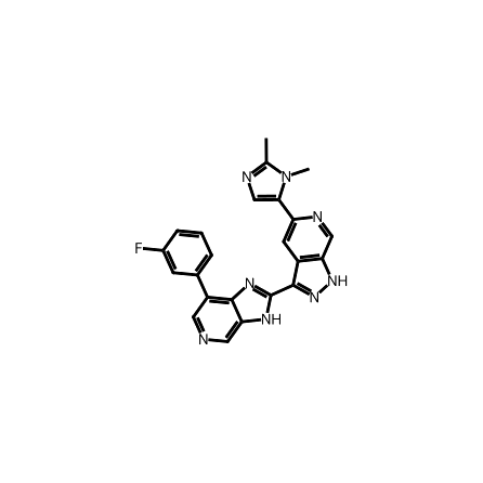 Cc1ncc(-c2cc3c(-c4nc5c(-c6cccc(F)c6)cncc5[nH]4)n[nH]c3cn2)n1C